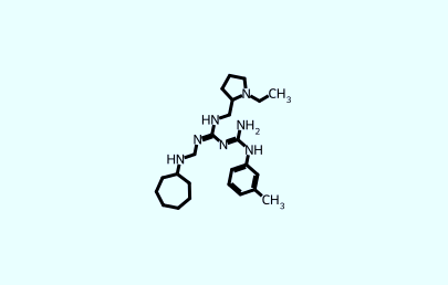 CCN1CCCC1CNC(=N/CNC1CCCCCC1)/N=C(\N)Nc1cccc(C)c1